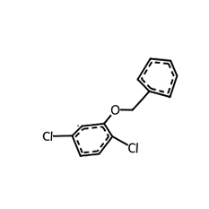 Clc1[c]c(OCc2ccccc2)c(Cl)cc1